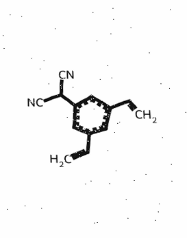 C=Cc1cc(C=C)cc(C(C#N)C#N)c1